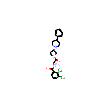 O=C(NCC(=O)N1CCC(N2CCC(c3ccccc3)CC2)C1)c1cccc(Cl)c1Cl